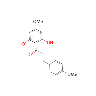 COC1=CCC(C=CC(=O)c2c(O)cc(OC)cc2O)C=C1